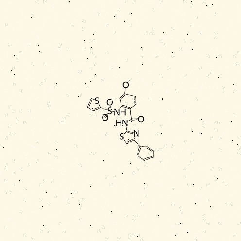 COc1ccc(C(=O)Nc2nc(-c3ccccc3)cs2)c(NS(=O)(=O)c2cccs2)c1